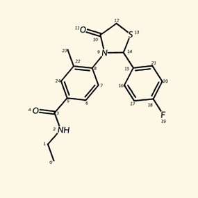 CCNC(=O)c1ccc(N2C(=O)CSC2c2ccc(F)cc2)c(C)c1